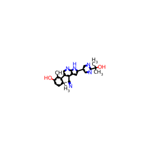 Cc1ccc(O)c(C)c1-c1cnc2[nH]c(-c3cnc(C(C)(C)O)nc3)cc2c1C#N